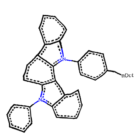 CCCCCCCCc1ccc(-n2c3ccccc3c3ccc4c(c5ccccc5n4-c4ccccc4)c32)cc1